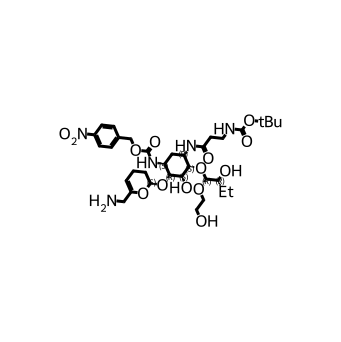 CC[C@@H](O)[C@H](OCCO)O[C@@H]1[C@@H](O)[C@H](O[C@@H]2CCC=C(CN)O2)[C@@H](NC(=O)OCc2ccc([N+](=O)[O-])cc2)C[C@H]1NC(=O)CCNC(=O)OC(C)(C)C